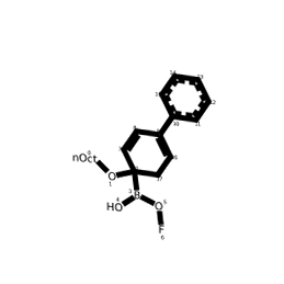 CCCCCCCCOC1(B(O)OF)C=CC(c2ccccc2)=CC1